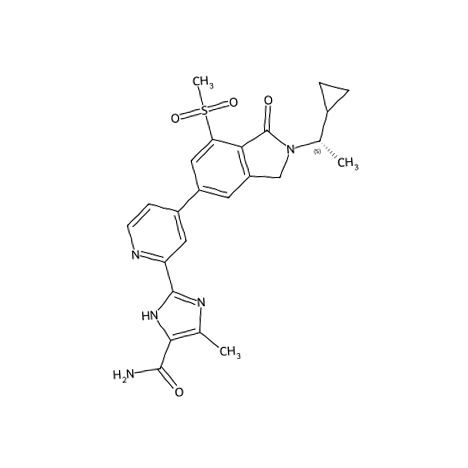 Cc1nc(-c2cc(-c3cc4c(c(S(C)(=O)=O)c3)C(=O)N([C@@H](C)C3CC3)C4)ccn2)[nH]c1C(N)=O